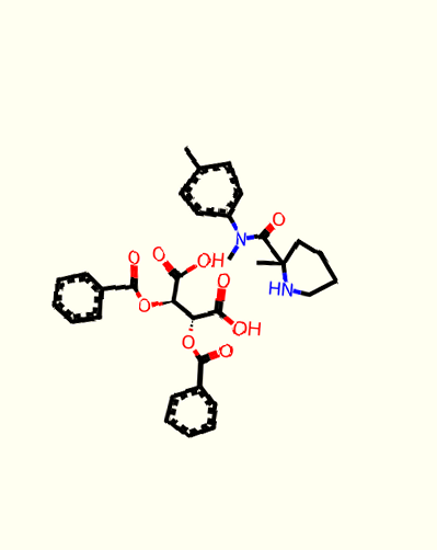 Cc1ccc(N(C)C(=O)C2(C)CCCCN2)cc1.O=C(O[C@@H](C(=O)O)[C@@H](OC(=O)c1ccccc1)C(=O)O)c1ccccc1